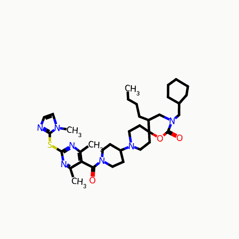 CCCCC1CN(CC2CCCCC2)C(=O)OC12CCN(C1CCN(C(=O)c3c(C)nc(Sc4nccn4C)nc3C)CC1)CC2